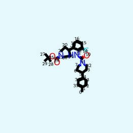 Cc1ccc(C2CCN(C(=O)Nc3c(F)cccc3C3CCN(C(=O)OC(C)(C)C)CC3)CC2)cc1